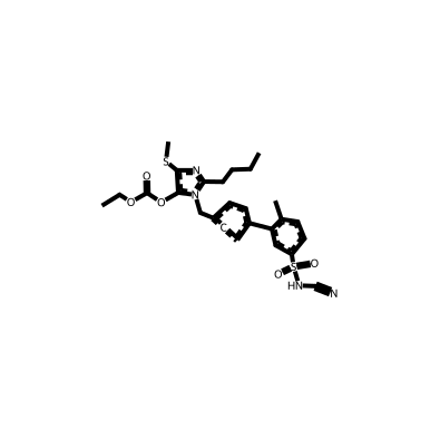 CCCCc1nc(SC)c(OC(=O)OCC)n1Cc1ccc(-c2cc(S(=O)(=O)NC#N)ccc2C)cc1